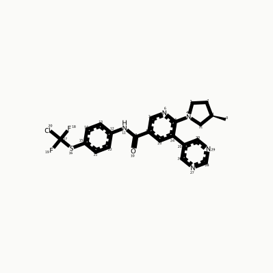 C[C@@H]1CCN(c2ncc(C(=O)Nc3ccc(SC(F)(F)Cl)cc3)cc2-c2cncnc2)C1